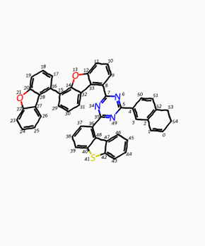 C1=Cc2cc(-c3nc(-c4cccc5oc6c(-c7cccc8oc9ccccc9c78)cccc6c45)nc(-c4cccc5sc6ccccc6c45)n3)ccc2CC1